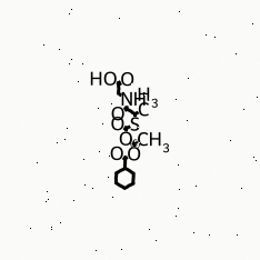 CC(SC(=O)O[C@@H](C)OC(=O)C1CCCCC1)C(=O)NCC(=O)O